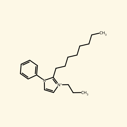 CCCCCCCCc1n(-c2ccccc2)cc[n+]1CCC